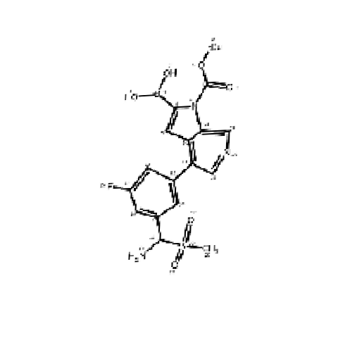 CC(C)(C)OC(=O)n1c(B(O)O)cc2c(-c3cc(F)cc(C(N)S(C)(=O)=O)c3)cncc21